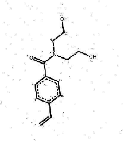 C=Cc1ccc(C(=O)N(CCO)CCO)cc1